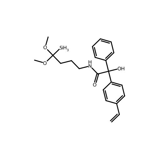 C=Cc1ccc(C(O)(C(=O)NCCCC([SiH3])(OC)OC)c2ccccc2)cc1